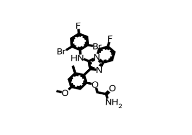 COc1cc(C)c(-c2nc3ccc(F)cn3c2Nc2c(Br)cc(F)cc2Br)c(OCC(N)=O)c1